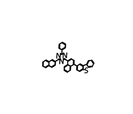 c1ccc(-c2nc(-c3ccc4ccccc4c3)nc(-c3ccc(-c4ccc5sc6ccccc6c5c4)c4ccccc34)n2)cc1